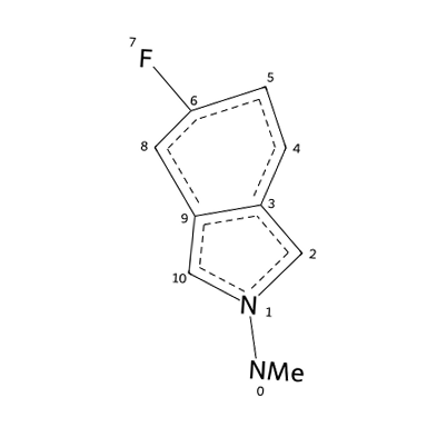 CNn1cc2ccc(F)cc2c1